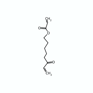 C=CC(=O)CCCCCOC(=O)C=C